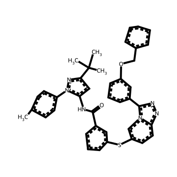 Cc1ccc(-n2nc(C(C)(C)C)cc2NC(=O)c2cccc(Sc3ccc4nnc(-c5cccc(OCc6ccccc6)c5)n4c3)c2)cc1